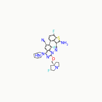 N#Cc1cc2c(N3CC4CCC(C3)N4)nc(OC[C@@]34CCCN3C[C@H](F)C4)nc2c(F)c1-c1ccc(F)c2sc(N)c(C#N)c12